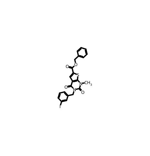 Cn1c(=O)n(Cc2cccc(I)c2)c(=O)c2cc(C(=O)OCc3ccccc3)sc21